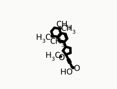 COC1(C#CC(=O)O)CCC(c2ccc3c(c2)C(C)(C)CCC3(C)C)C1